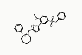 COc1ccc(S(=O)(=O)Cc2ccccc2)cc1-c1ccc(CN2CCCCC[C@@H]2c2ccccc2)[nH]1